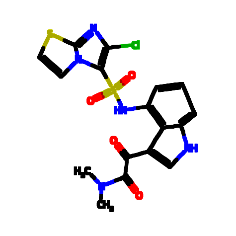 CN(C)C(=O)C(=O)c1c[nH]c2cccc(NS(=O)(=O)c3c(Cl)nc4sccn34)c12